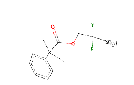 CC(C)(C(=O)OCC(F)(F)S(=O)(=O)O)c1ccccc1